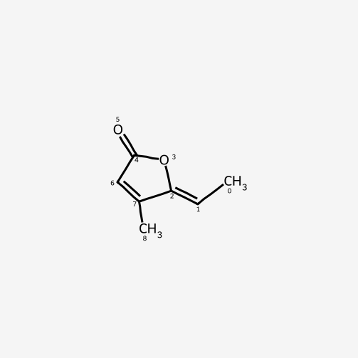 CC=C1OC(=O)C=C1C